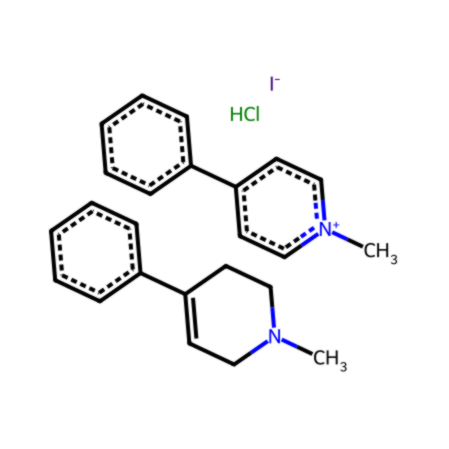 CN1CC=C(c2ccccc2)CC1.C[n+]1ccc(-c2ccccc2)cc1.Cl.[I-]